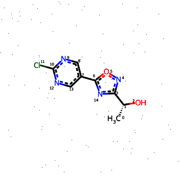 C[C@@H](O)c1noc(-c2cnc(Cl)nc2)n1